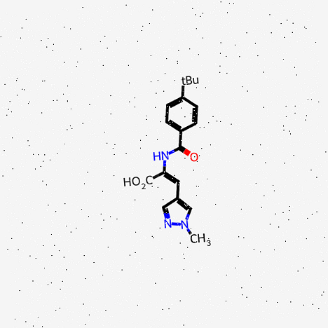 Cn1cc(C=C(NC(=O)c2ccc(C(C)(C)C)cc2)C(=O)O)cn1